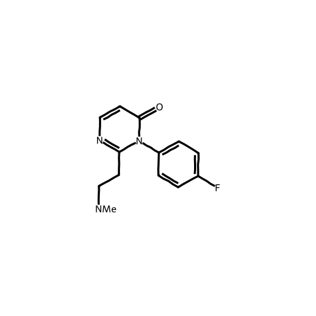 CNCCc1nccc(=O)n1-c1ccc(F)cc1